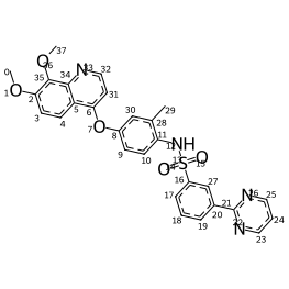 COc1ccc2c(Oc3ccc(NS(=O)(=O)c4cccc(-c5ncccn5)c4)c(C)c3)ccnc2c1OC